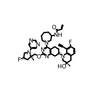 C#Cc1c(F)ccc2c1N([C@@H]1CCc3c(nc(OC[C@]4(C)C[C@@H](F)CN4c4cncnc4)nc3N3CCCCC(NC(=O)C=C)C3)C1)C[C@@](C)(O)C2